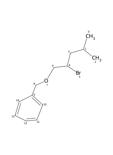 CC(C)CC(Br)COCc1ccccc1